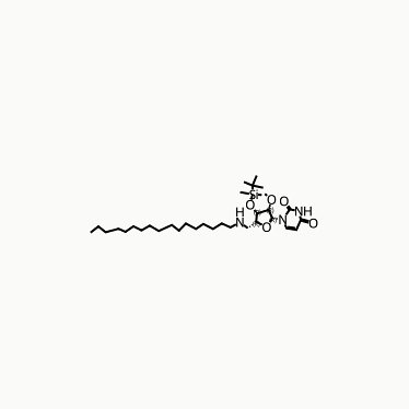 CCCCCCCCCCCCCCCCCNC[C@H]1O[C@@H](n2ccc(=O)[nH]c2=O)[C@H](OC)[C@@H]1O[Si](C)(C)C(C)(C)C